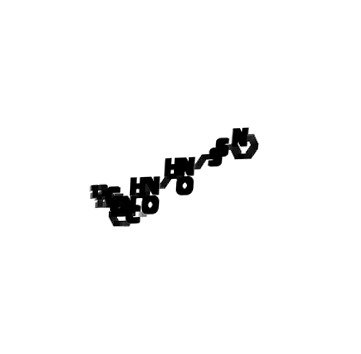 C[13C@@H]1CCC[13C@H]([13CH3])[15N]1CC(=O)NCCC(=O)NCCSSc1ccccn1